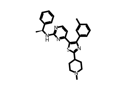 Cc1cccc(-c2nc(C3CCN(C)CC3)sc2-c2ccnc(N[C@@H](C)c3ccccc3)n2)c1